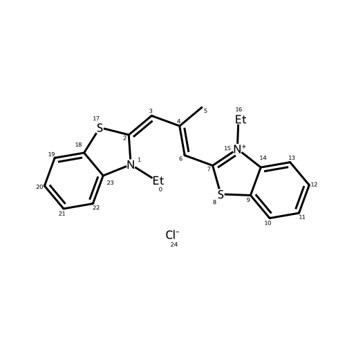 CCN1C(=CC(C)=Cc2sc3ccccc3[n+]2CC)Sc2ccccc21.[Cl-]